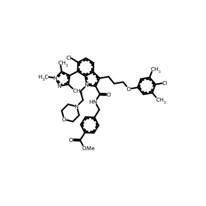 COC(=O)c1ccc(CNC(=O)c2c(CCCOc3cc(C)c(Cl)c(C)c3)c3ccc(Cl)c(-c4c(C)nn(C)c4C)c3n2CCN2CCOCC2)cc1